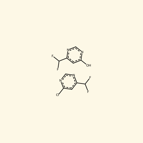 FC(F)c1cc(Cl)ncn1.Oc1cc(C(F)F)ncn1